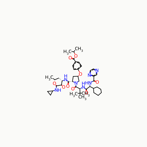 CCC[C@H](NC(=O)[C@@H]1C[C@@H](Oc2ccc(C(=O)OC(C)C)cc2)CN1C(=O)[C@@H](NC(=O)[C@@H](NC(=O)c1cnccn1)C1CCCCC1)C(C)(C)C)C(=O)C(=O)NC1CC1